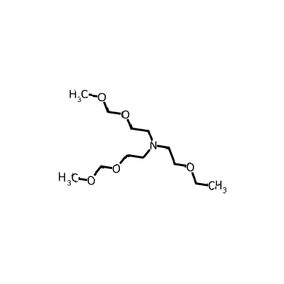 CCOCCN(CCOCOC)CCOCOC